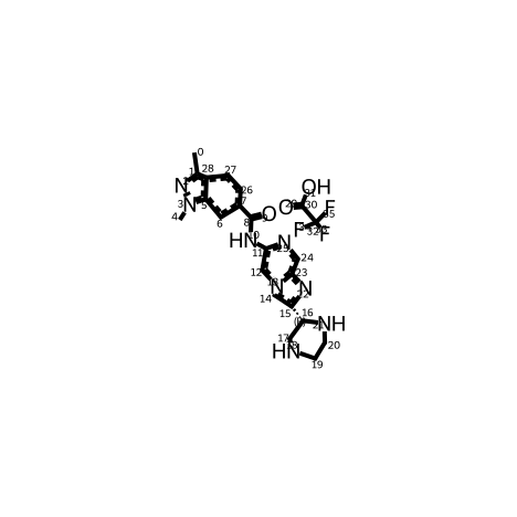 Cc1nn(C)c2cc(C(=O)Nc3cn4cc([C@H]5CNCCN5)nc4cn3)ccc12.O=C(O)C(F)(F)F